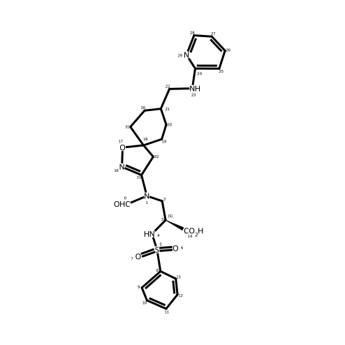 O=CN(C[C@H](NS(=O)(=O)c1ccccc1)C(=O)O)C1=NOC2(CCC(CNc3ccccn3)CC2)C1